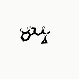 CN(C(=O)Cc1c[nH]c2c(F)cccc12)C1CC1